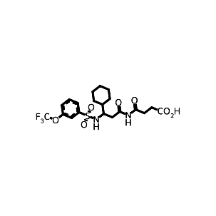 O=C(O)CCC(=O)NC(=O)CC(NS(=O)(=O)c1cccc(OC(F)(F)F)c1)C1CCCCC1